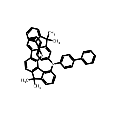 CC1(C)c2ccccc2-c2ccc(N(c3ccc(-c4ccccc4)cc3)c3cccc4c3-c3c(ccc5c3sc3ccccc35)C4(C)C)cc21